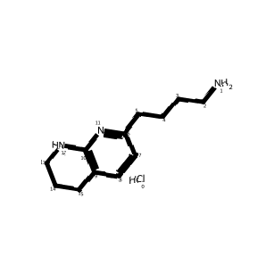 Cl.NCCCCc1ccc2c(n1)NCCC2